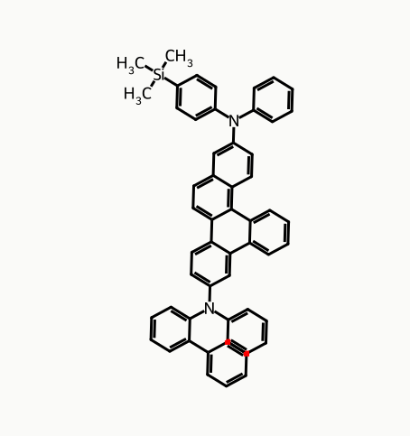 C[Si](C)(C)c1ccc(N(c2ccccc2)c2ccc3c(ccc4c5ccc(N(c6ccccc6)c6ccccc6-c6ccccc6)cc5c5ccccc5c34)c2)cc1